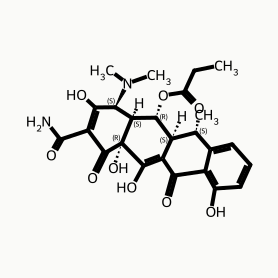 CCC(=O)O[C@@H]1[C@@H]2C(=C(O)[C@@]3(O)C(=O)C(C(N)=O)=C(O)[C@@H](N(C)C)[C@@H]13)C(=O)c1c(O)cccc1[C@H]2C